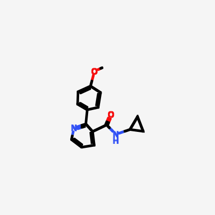 COc1ccc(-c2ncccc2C(=O)NC2CC2)cc1